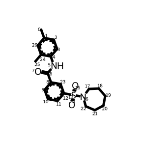 Cc1ccc(NC(=O)c2cccc(S(=O)(=O)N3CCCCCC3)c2)c(C)c1